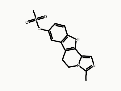 Cc1ncc2n1CCc1c-2[nH]c2ccc(OS(C)(=O)=O)cc12